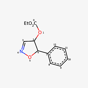 CCOC(=O)OC1C=NOC1c1ccccc1